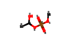 CCOS(=O)(=O)OC(O)CC